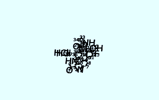 CC(=O)c1cnc2ccc(-c3cc(F)c(O)c(Cl)c3)cc2c1NC1CCC(NC(=O)C(N)C(C)C)CC1.Cl.Cl